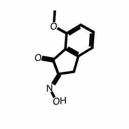 COc1cccc2c1C(=O)/C(=N/O)C2